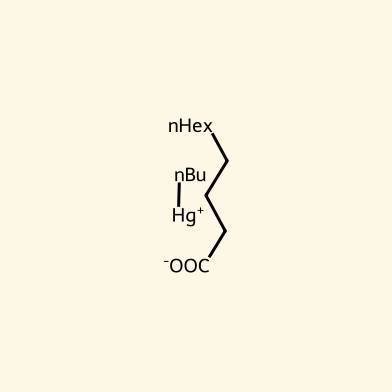 CCCCCCCCCC(=O)[O-].CCC[CH2][Hg+]